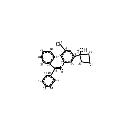 OC1(c2cc(Cl)cc(N=C(c3ccccc3)c3ccccc3)c2)CCC1